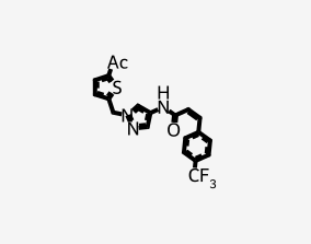 CC(=O)c1ccc(Cn2cc(NC(=O)/C=C\c3ccc(C(F)(F)F)cc3)cn2)s1